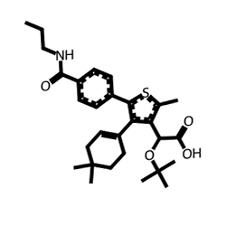 CCCNC(=O)c1ccc(-c2sc(C)c(C(OC(C)(C)C)C(=O)O)c2C2=CCC(C)(C)CC2)cc1